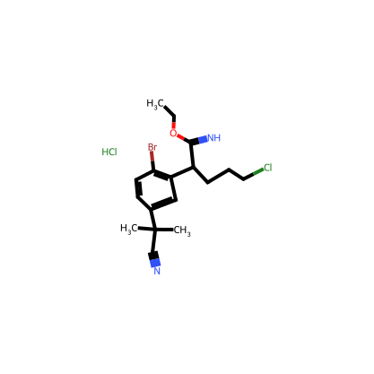 CCOC(=N)C(CCCCl)c1cc(C(C)(C)C#N)ccc1Br.Cl